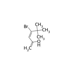 C=C(O)/C=C(/Br)C(C)(C)C